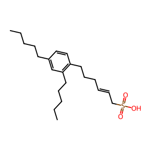 CCCCCc1ccc(CCCC=CCS(=O)(=O)O)c(CCCCC)c1